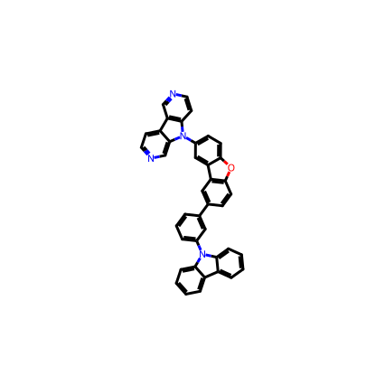 c1cc(-c2ccc3oc4ccc(-n5c6ccncc6c6ccncc65)cc4c3c2)cc(-n2c3ccccc3c3ccccc32)c1